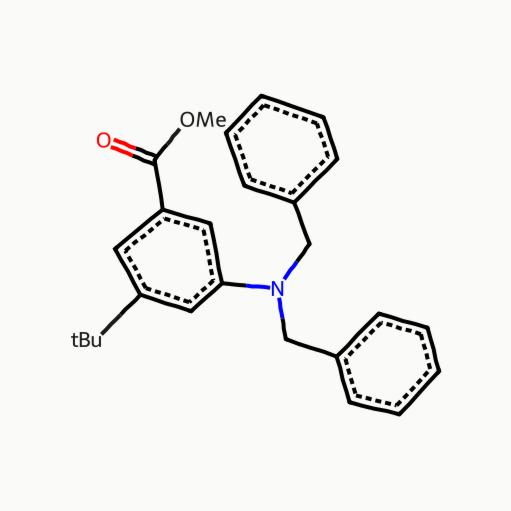 COC(=O)c1cc(N(Cc2ccccc2)Cc2ccccc2)cc(C(C)(C)C)c1